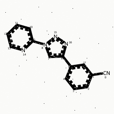 N#Cc1cccc(-c2cn(-c3ccccn3)nn2)c1